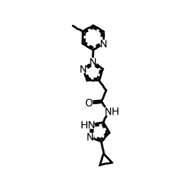 Cc1ccnc(-n2cc(CC(=O)Nc3cc(C4CC4)n[nH]3)cn2)c1